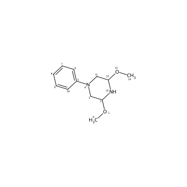 COC1CN(c2ccccc2)CC(OC)N1